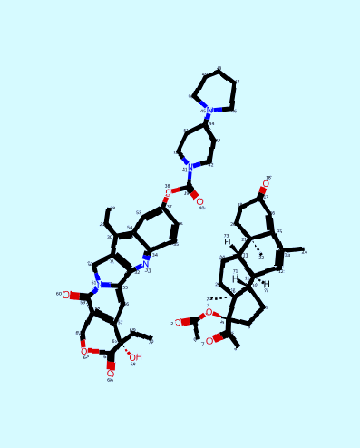 CC(=O)O[C@]1(C(C)=O)CC[C@H]2[C@@H]3C=C(C)C4=CC(=O)CC[C@]4(C)[C@H]3CC[C@@]21C.CCc1c2c(nc3ccc(OC(=O)N4CCC(N5CCCCC5)CC4)cc13)-c1cc3c(c(=O)n1C2)COC(=O)[C@]3(O)CC